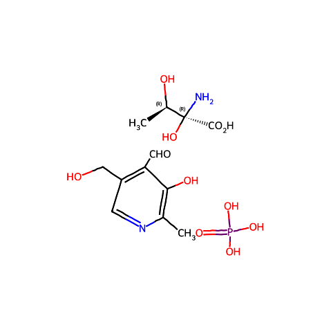 C[C@@H](O)[C@@](N)(O)C(=O)O.Cc1ncc(CO)c(C=O)c1O.O=P(O)(O)O